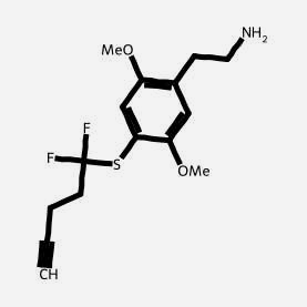 C#CCCC(F)(F)Sc1cc(OC)c(CCN)cc1OC